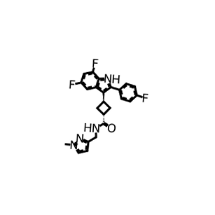 Cn1ccc(CNC(=O)[C@H]2C[C@H](c3c(-c4ccc(F)cc4)[nH]c4c(F)cc(F)cc43)C2)n1